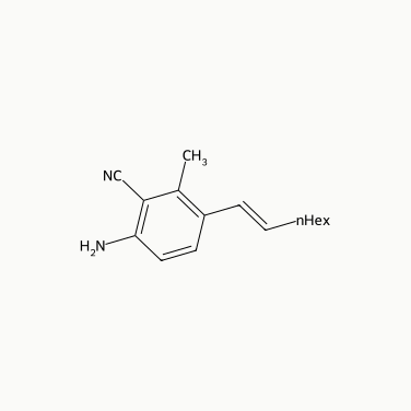 CCCCCCC=Cc1ccc(N)c(C#N)c1C